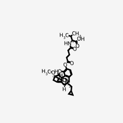 CO[C@]12CC(=C3[C@H]4Cc5ccc(OC(=O)CCCC(=O)N[C@H](C(=O)O)C(C)C)c6c5[C@@]3(CCN4CC3CC3)[C@H]1O6)[C@@H]2C(C)O